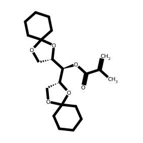 C=C(C)C(=O)O[C@H]([C@@H]1COC2(CCCCC2)O1)[C@H]1COC2(CCCCC2)O1